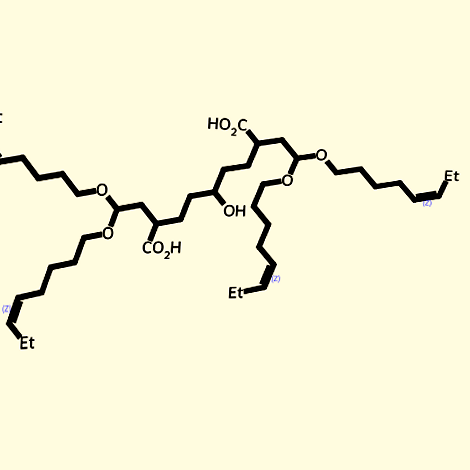 CC/C=C\CCCCOC(CC(CCC(O)CCC(CC(OCCCC/C=C\CC)OCCCC/C=C\CC)C(=O)O)C(=O)O)OCCCC/C=C\CC